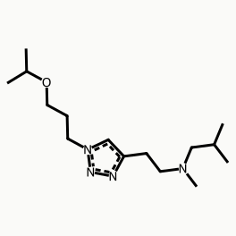 CC(C)CN(C)CCc1cn(CCCOC(C)C)nn1